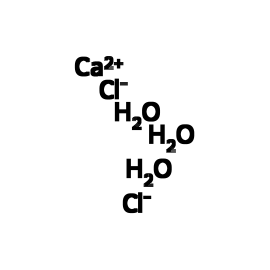 O.O.O.[Ca+2].[Cl-].[Cl-]